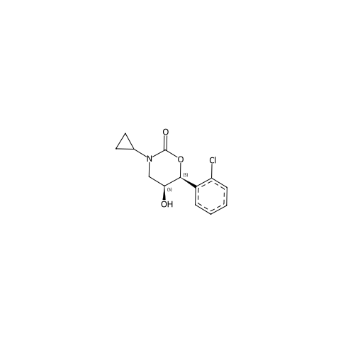 O=C1O[C@@H](c2ccccc2Cl)[C@@H](O)CN1C1CC1